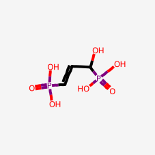 O=P(O)(O)C=CC(O)P(=O)(O)O